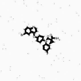 NC(=O)C1(C(=O)N(c2ccc(F)cc2)c2ccc(Oc3ccnc4ccc(Br)cc34)cc2)CC1